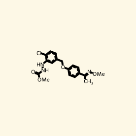 CON=C(C)c1ccc(OCc2ccc(Cl)c(NNC(=O)OC)c2)cc1